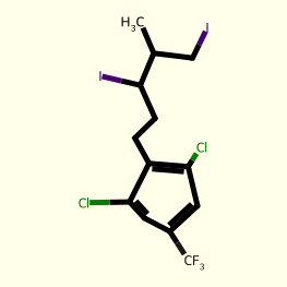 CC(CI)C(I)CCc1c(Cl)cc(C(F)(F)F)cc1Cl